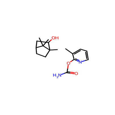 CC1(C)C2CCC1(C)C(O)C2.Cc1cccnc1OC(N)=O